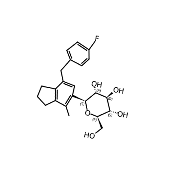 Cc1c([C@@H]2O[C@H](CO)[C@@H](O)[C@H](O)[C@H]2O)cc(Cc2ccc(F)cc2)c2c1CCC2